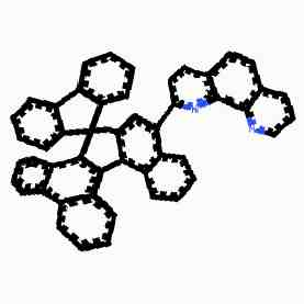 c1ccc2c(c1)-c1ccccc1C21c2cc(-c3ccc4ccc5cccnc5c4n3)c3ccccc3c2-c2c1c1ccccc1c1ccccc21